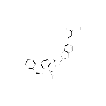 O=C(O)/C=C/c1ccc2c(c1)CC(NS(=O)(=O)c1ccc(-c3ccccc3C(=O)O)cc1C(F)(F)F)C2